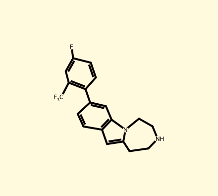 Fc1ccc(-c2ccc3cc4n(c3c2)CCNCC4)c(C(F)(F)F)c1